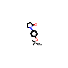 CC(C)(C)[Si](C)(C)Oc1ccc(N2C[CH]CC2=O)cc1